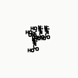 O=[N+]([O-])C(CO)(CO)CO.[N-]=[N+]=NCC(=O)O.[N-]=[N+]=NCC(=O)O.[N-]=[N+]=NCC(=O)O